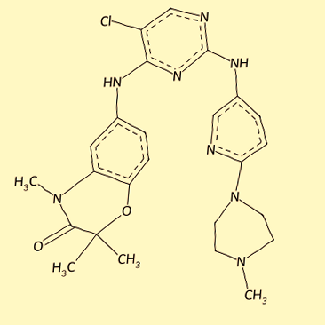 CN1CCN(c2ccc(Nc3ncc(Cl)c(Nc4ccc5c(c4)N(C)C(=O)C(C)(C)O5)n3)cn2)CC1